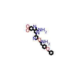 COc1cc2ncc3c(N)nc(-c4cncc(OC[C@@H](N)Cc5ccc(OCc6ccccc6)cc5)c4)cc3c2cc1OC